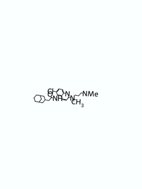 CNCCCN(C)c1ccc2c(NC(=O)CC3CC4CCCC(C4)C3)c(Cl)ccc2n1